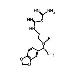 CCN(CCNC(=N)SC(=N)N)[C@@H](C)c1ccc2c(c1)OCO2